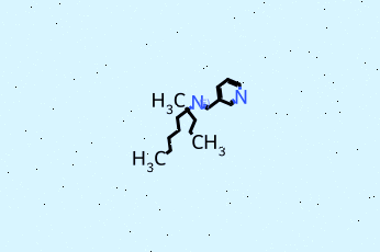 CCCCCC(C)(CCC)/N=C/c1cccnc1